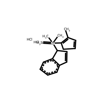 CC1=[C]([Zr]([CH3])([CH3])(=[SiH2])[CH]2C=Cc3ccccc32)CC=C1.Cl.Cl